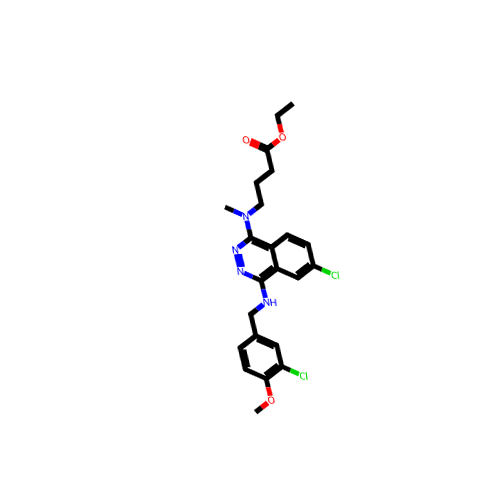 CCOC(=O)CCCN(C)c1nnc(NCc2ccc(OC)c(Cl)c2)c2cc(Cl)ccc12